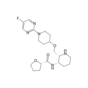 O=C(N[C@H]1CCCN[C@H]1COC1CCN(c2ncc(F)cn2)CC1)[C@@H]1CCCO1